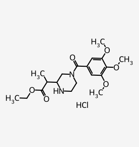 CCOC(=O)C(C)C1CN(C(=O)c2cc(OC)c(OC)c(OC)c2)CCN1.Cl